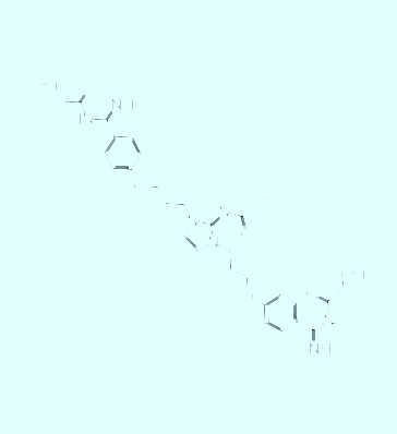 CN(C(=N)c1ccc(OCCCn2ccn(CCCOc3ccc(C(=N)NC(=O)OC(C)(C)C)cc3)/c2=N/C(=O)C(F)(F)F)cc1)C(=O)OC(C)(C)C